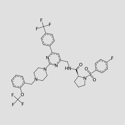 O=C(NCc1cc(-c2ccc(C(F)(F)F)cc2)nc(N2CCN(Cc3ccccc3OC(F)(F)F)CC2)n1)[C@@H]1CCCN1S(=O)(=O)c1ccc(F)cc1